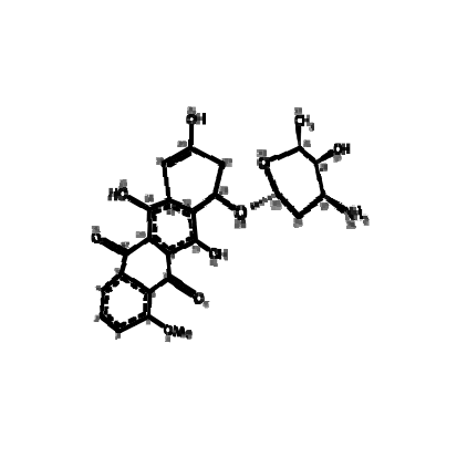 COc1cccc2c1C(=O)c1c(O)c3c(c(O)c1C2=O)C=C(O)CC3O[C@H]1C[C@H](N)[C@H](O)[C@H](C)O1